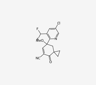 COC1(c2ncc(Cl)cc2C(F)F)C=C(C#N)C(=O)C2(CC2)C1